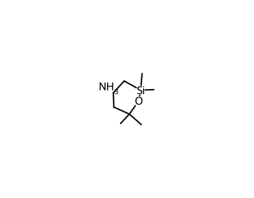 CC1(C)CCC[Si](C)(C)O1.N